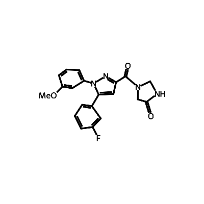 COc1cccc(-n2nc(C(=O)N3CNC(=O)C3)cc2-c2cccc(F)c2)c1